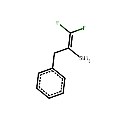 FC(F)=C([SiH3])Cc1ccccc1